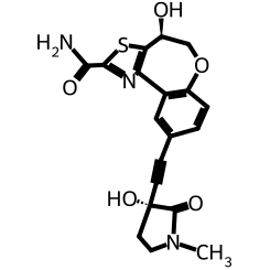 CN1CC[C@@](O)(C#Cc2ccc3c(c2)-c2nc(C(N)=O)sc2[C@@H](O)CO3)C1=O